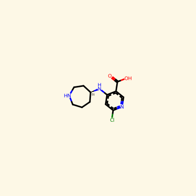 O=C(O)c1cnc(Cl)cc1N[C@H]1CCCNCC1